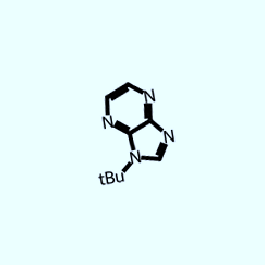 CC(C)(C)n1cnc2nccnc21